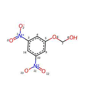 O=[N+]([O-])c1cc(OCO)cc([N+](=O)[O-])c1